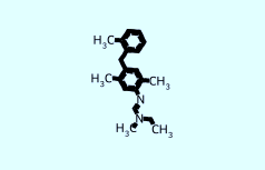 CCN(C)C=Nc1cc(C)c(Cc2ccccc2C)cc1C